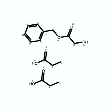 CCC(=O)O.CCC(=O)O.O=C(CO)OCc1ccccc1